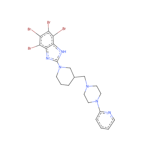 Brc1c(Br)c(Br)c2[nH]c(N3CCCC(CN4CCN(c5ccccn5)CC4)C3)nc2c1Br